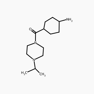 CC(C)N1CCN(C(=O)C2CCC(N)CC2)CC1